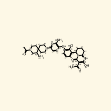 CC(=O)N1CCC2(CCN(c3cnc(Sc4cccc(C5CCCc6nc(O)c(C(N)=O)c(=O)n65)c4Cl)c(N)n3)CC2)C(N)C1